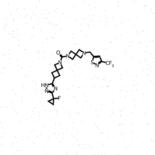 O=C(N1CC2(CC(c3nc(C4(F)CC4)n[nH]3)C2)C1)N1CC2(CN(Cc3cc(C(F)(F)F)ns3)C2)C1